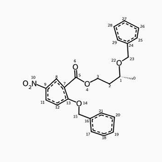 C[C@H](CCOC(=O)c1cc([N+](=O)[O-])ccc1OCc1ccccc1)OCc1ccccc1